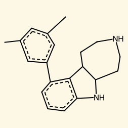 Cc1cc(C)cc(-c2cccc3c2C2CCNCCC2N3)c1